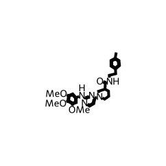 COc1cc(Nc2nccc(N3CCCC(C(=O)NCCc4ccc(C)cc4)C3)n2)cc(OC)c1OC